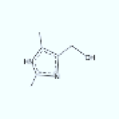 Cc1nc(CO)c(C)[nH]1